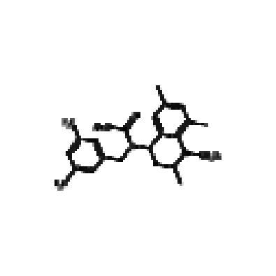 CCOC(=O)N1c2c(C)cc(C)cc2C(N(Cc2cc(C(F)(F)F)cc(C(F)(F)F)c2)C(=O)OC)CC1C